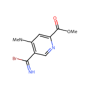 CNc1cc(C(=O)OC)ncc1C(=N)Br